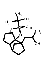 CC(O)CC12CCC(C1)C1CCCC12O[Si](C)(C)C(C)(C)C